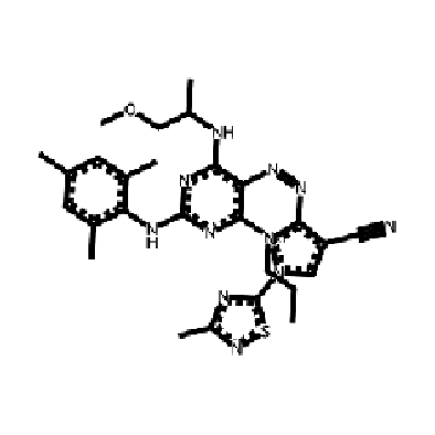 CCCNc1nc(Nc2c(C)cc(C)cc2C)nc(NC(C)COC)c1/N=N\c1nn(-c2nc(C)ns2)cc1C#N